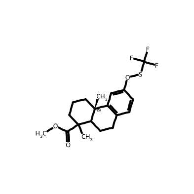 COC(=O)C1(C)CCC[C@]2(C)c3cc(OSC(F)(F)F)ccc3CCC12